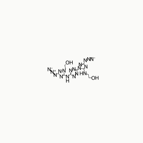 [N-]=[N+]=Nc1nc(Nc2nnc(-n3nc(N=[N+]=[N-])nc3NCCO)nn2)n(CCO)n1